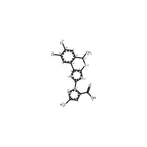 Cc1cc(C(=O)O)n(-c2nc3c(s2)SC(C)c2cc(Cl)c(Cl)cc2-3)n1